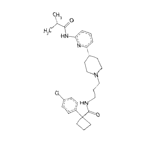 CC(C)C(=O)Nc1cccc(C2CCN(CCCNC(=O)C3(c4ccc(Cl)cc4)CCC3)CC2)n1